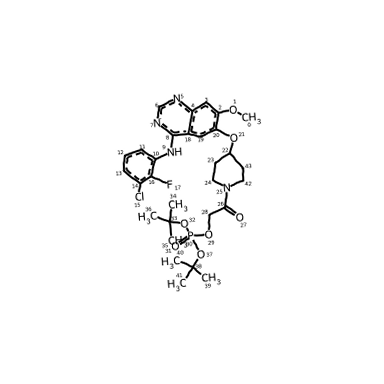 COc1cc2ncnc(Nc3cccc(Cl)c3F)c2cc1OC1CCN(C(=O)COP(=O)(OC(C)(C)C)OC(C)(C)C)CC1